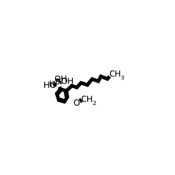 C=O.CCCCCCCCCc1ccccc1[PH](O)(O)O